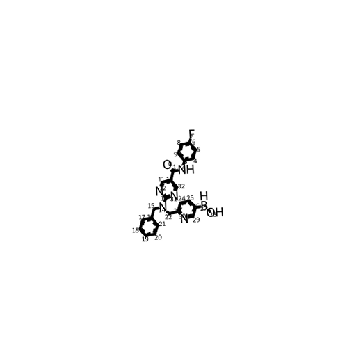 O=C(Nc1ccc(F)cc1)c1cnc(N(Cc2ccccc2)Cc2ccc(BO)cn2)nc1